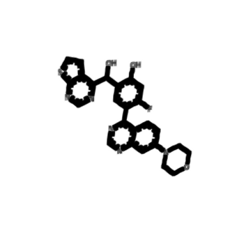 Oc1cc(F)c(-c2ncnc3cc(N4CCOCC4)ccc23)cc1C(O)c1ncnc2sccc12